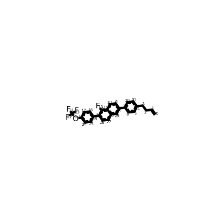 C=CCCc1ccc(-c2ccc3c(F)c(-c4ccc(OC(F)(F)F)cc4)ccc3c2)cc1